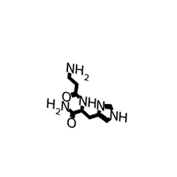 NCCC(=O)NC(Cc1c[nH]cn1)C(N)=O